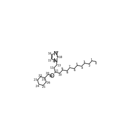 CCCCCCCCCCCC(CCn1ccnc1)OCC1CCCCC1